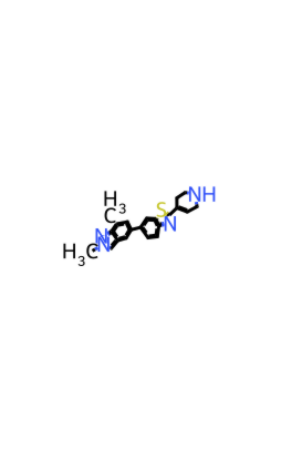 Cc1cc(-c2ccc3nc(C4=CCNCC4)sc3c2)cc2cn(C)nc12